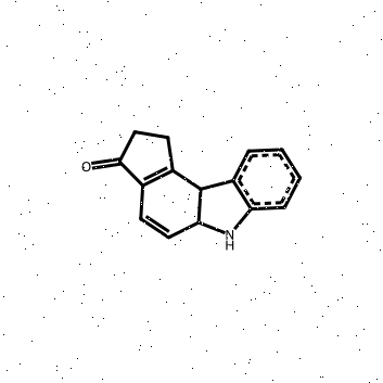 O=C1CCC2=C1C=CC1Nc3ccccc3C21